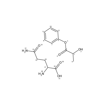 CC(O)C(=O)Oc1ccccc1.NC(=O)CCC(N)C(=O)O